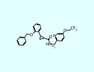 C[C@H](NC(=O)C1CC1c1ccccc1OCc1ccccc1)c1ccc(OCC(F)(F)F)cn1